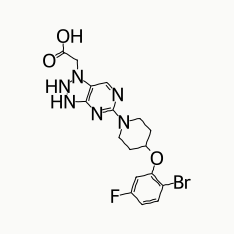 O=C(O)CN1NNc2nc(N3CCC(Oc4cc(F)ccc4Br)CC3)ncc21